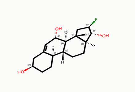 C[C@]12CC[C@H]3[C@@H]([C@@H](O)C=C4C[C@H](O)CC[C@@]43C)[C@@H]1C[C@@H](F)[C@@H]2O